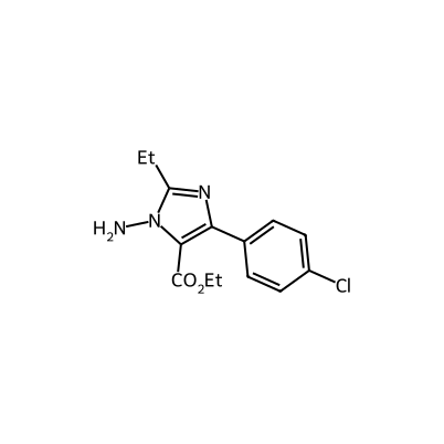 CCOC(=O)c1c(-c2ccc(Cl)cc2)nc(CC)n1N